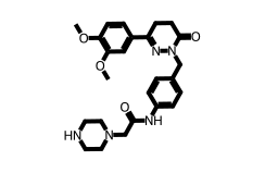 COc1ccc(C2=NN(Cc3ccc(NC(=O)CN4CCNCC4)cc3)C(=O)CC2)cc1OC